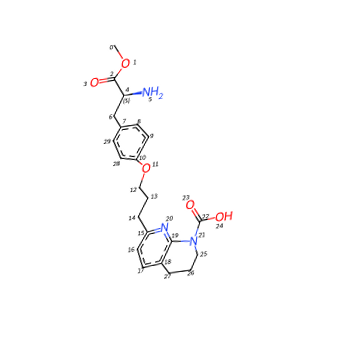 COC(=O)[C@@H](N)Cc1ccc(OCCCc2ccc3c(n2)N(C(=O)O)CCC3)cc1